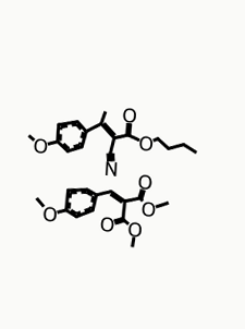 CCCCOC(=O)/C(C#N)=C(\C)c1ccc(OC)cc1.COC(=O)C(=Cc1ccc(OC)cc1)C(=O)OC